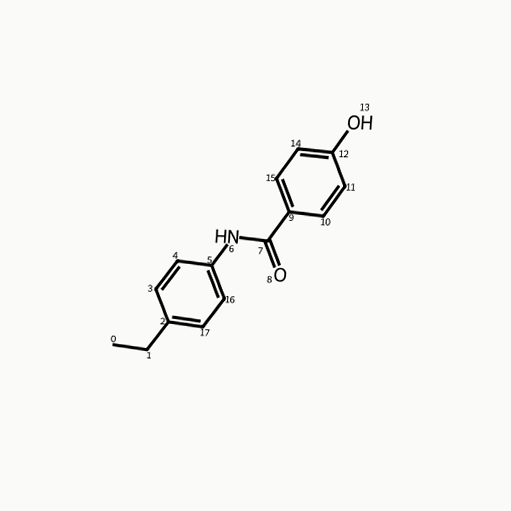 CCc1ccc(NC(=O)c2ccc(O)cc2)cc1